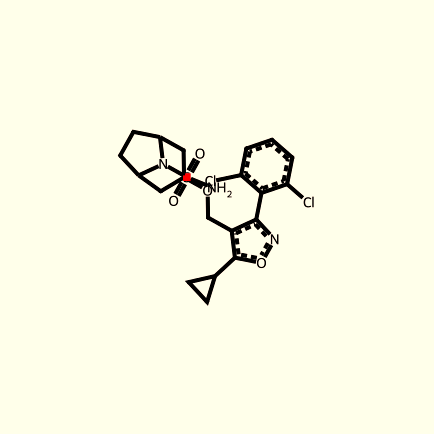 NS(=O)(=O)N1C2CCC1CC(OCc1c(-c3c(Cl)cccc3Cl)noc1C1CC1)C2